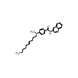 CCCCCC=CCCCN(C)c1ccc(C(=O)Nc2cnc3ccccc3c2)cc1